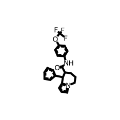 O=C(Nc1ccc(OC(F)(F)F)cc1)C1CCCn2cccc2C1c1ccccc1